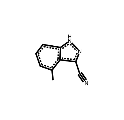 Cc1cccc2[nH]nc(C#N)c12